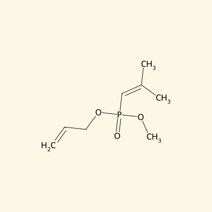 C=CCOP(=O)(C=C(C)C)OC